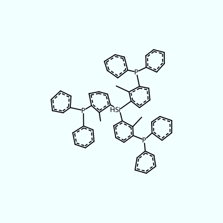 Cc1c([SiH](c2cccc(P(c3ccccc3)c3ccccc3)c2C)c2cccc(P(c3ccccc3)c3ccccc3)c2C)cccc1P(c1ccccc1)c1ccccc1